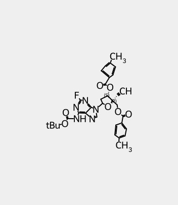 C#C[C@]1(COC(=O)c2ccc(C)cc2)OC(n2cnc3c(NC(=O)OC(C)(C)C)nc(F)nc32)C[C@@H]1OC(=O)c1ccc(C)cc1